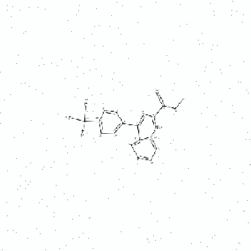 CCC(=O)c1cc(-c2ccc(C(F)(F)F)cc2)c2ccccc2n1